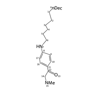 CCCCCCCCCCCCCCCCNc1ccc(C(=O)CNC)cc1